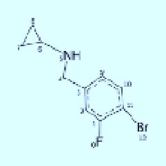 Fc1cc(CNC2CC2)ccc1Br